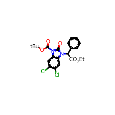 CCOC(=O)C(c1ccccc1)n1c(=O)n(C(=O)OC(C)(C)C)c2cc(Cl)c(Cl)cc21